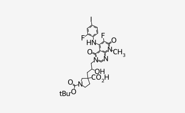 Cn1c(=O)c(F)c(Nc2ccc(I)cc2F)c2c(=O)n(CC(O)CC3(C(=O)O)CCN(C(=O)OC(C)(C)C)C3)cnc21